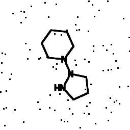 C1CCN(N2CCCN2)CC1